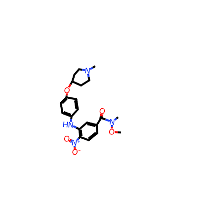 CON(C)C(=O)c1ccc([N+](=O)[O-])c(Nc2ccc(OC3CCN(C)CC3)cc2)c1